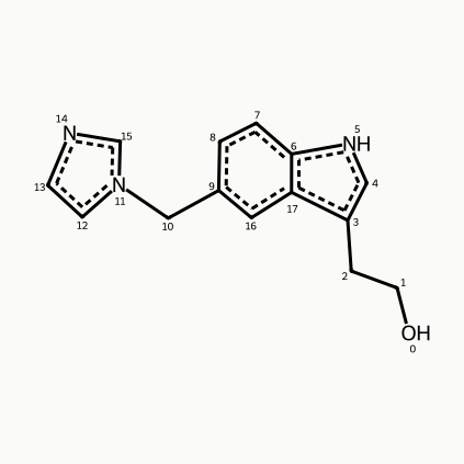 OCCc1c[nH]c2ccc(Cn3ccnc3)cc12